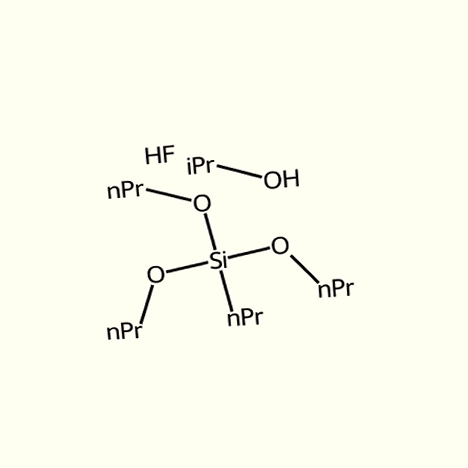 CC(C)O.CCCO[Si](CCC)(OCCC)OCCC.F